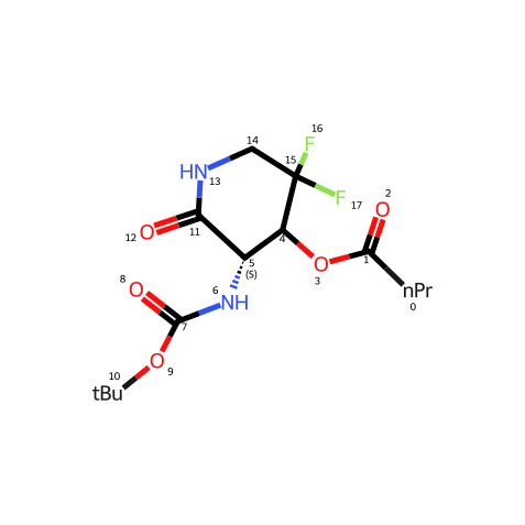 CCCC(=O)OC1[C@H](NC(=O)OC(C)(C)C)C(=O)NCC1(F)F